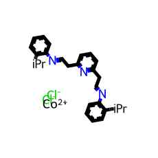 CC(C)c1ccccc1N=CCc1cccc(CC=Nc2ccccc2C(C)C)n1.[Cl-].[Cl-].[Co+2]